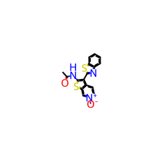 CC(=O)Nc1sc2c[n+]([O-])ccc2c1-c1nc2ccccc2s1